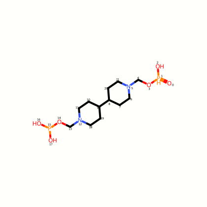 O=[PH](O)OCN1CCC(C2CCN(COP(O)O)CC2)CC1